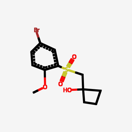 COc1ccc(Br)cc1S(=O)(=O)CC1(O)CCC1